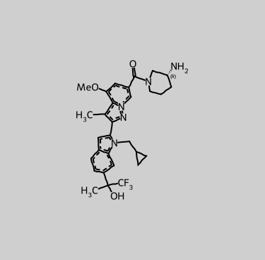 COc1cc(C(=O)N2CCC[C@@H](N)C2)cn2nc(-c3cc4ccc(C(C)(O)C(F)(F)F)cc4n3CC3CC3)c(C)c12